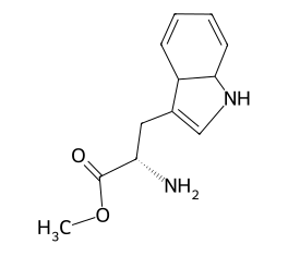 COC(=O)[C@@H](N)CC1=CNC2C=CC=CC12